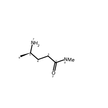 CNC(=O)CC[C@@H](C)N